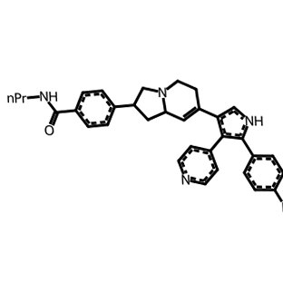 CCCNC(=O)c1ccc(C2CC3C=C(c4c[nH]c(-c5ccc(F)cc5)c4-c4ccncc4)CCN3C2)cc1